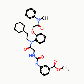 COC(=O)c1cccc(NC(=O)NCC(=O)N(CCC2CCCCC2)c2ccccc2OCC(=O)N(C)c2ccccc2)c1